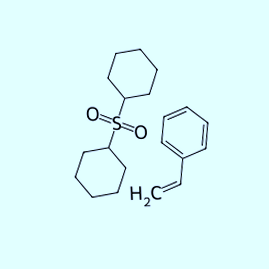 C=Cc1ccccc1.O=S(=O)(C1CCCCC1)C1CCCCC1